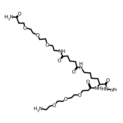 CCCNC(=O)C(CCCCNC(=O)CCCC(=O)NCCOCCOCCOCCC(N)=O)NC(=O)CCOCCOCCOCCN